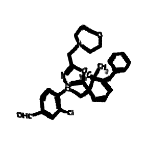 CC1(C)C(c2ccccc2)=CC=CC1(COc1ccc(C=O)cc1Cl)c1nnc(CN2CCOCC2)o1